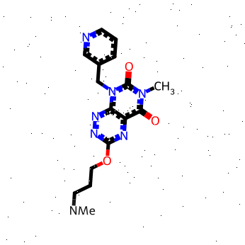 CNCCCOc1nnc2c(n1)c(=O)n(C)c(=O)n2Cc1cccnc1